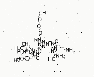 C#CCOCCOCCOCCNc1nc(N2CCN(C(=O)[C@H](CCCCN)n3cc([C@@H](N)CO)nn3)CC2)nc(N2CCN(C(=O)[C@H](Cc3ccc(O)cc3)n3cc([C@@H](N)CC(C)C)nn3)CC2)n1.Cl